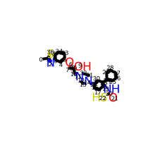 Cc1nc2cc(OC[C@H](O)CN3CCN(c4ccc(NC(=O)S)c(-c5ccccc5)c4)CC3)ccc2s1